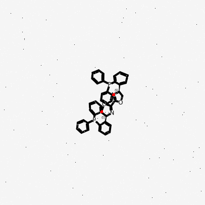 c1ccc(P(c2ccccc2)c2ccccc2[C@H]2COC(C3=N[C@@H](c4ccccc4P(c4ccccc4)c4ccccc4)CO3)=N2)cc1